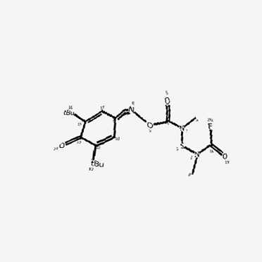 CN(SN(C)C(=O)ON=C1C=C(C(C)(C)C)C(=O)C(C(C)(C)C)=C1)C(=O)F